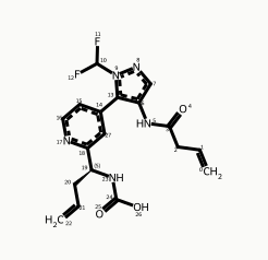 C=CCC(=O)Nc1cnn(C(F)F)c1-c1ccnc([C@H](CC=C)NC(=O)O)c1